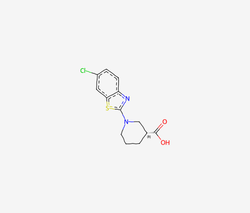 O=C(O)[C@@H]1CCCN(c2nc3ccc(Cl)cc3s2)C1